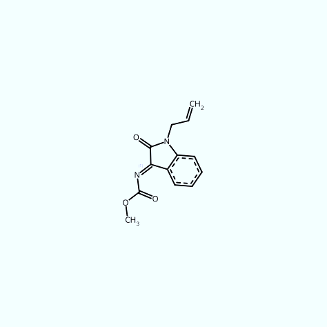 C=CCN1C(=O)/C(=N/C(=O)OC)c2ccccc21